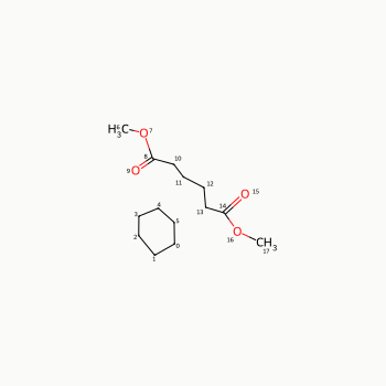 C1CCCCC1.COC(=O)CCCCC(=O)OC